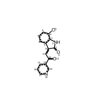 O=C1Nc2c(Cl)cccc2C1=CC(=O)c1cccnc1